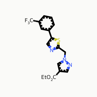 CCOC(=O)c1cnn(Cc2ncc(-c3cccc(C(F)(F)F)c3)s2)c1